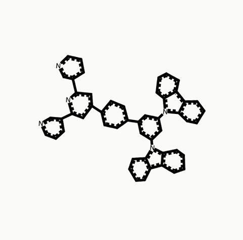 c1cncc(-c2cc(-c3ccc(-c4cc(-n5c6ccccc6c6ccccc65)cc(-n5c6ccccc6c6ccccc65)c4)cc3)cc(-c3cccnc3)n2)c1